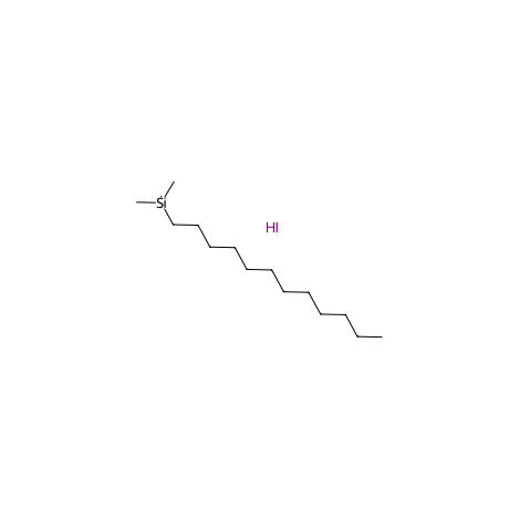 CCCCCCCCCCCC[Si](C)C.I